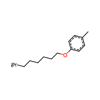 Cc1ccc(OCCCCCCC(C)C)cc1